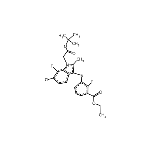 CCOC(=O)c1cccc(Sc2c(C)n(CC(=O)OC(C)(C)C)c3c(F)c(Cl)ccc23)c1F